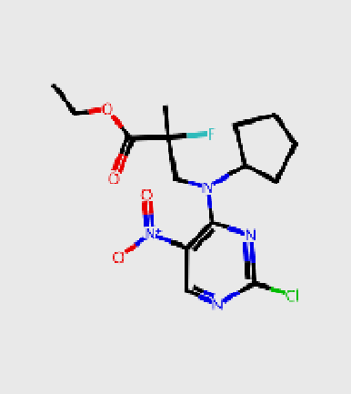 CCOC(=O)C(C)(F)CN(c1nc(Cl)ncc1[N+](=O)[O-])C1CCCC1